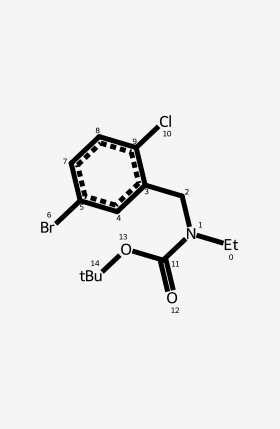 CCN(Cc1cc(Br)ccc1Cl)C(=O)OC(C)(C)C